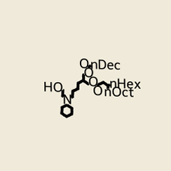 CCCCCCCCCCC(=O)OCC(CCCCN(CCO)C1CCCCC1)COC(=O)CC(CCCCCC)CCCCCCCC